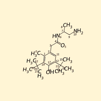 Cc1c(CC(=O)NC(C)CN)cc(C(C)(C)C)c(O)c1C(C)(C)C